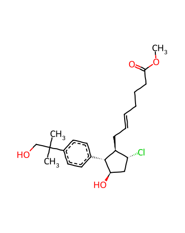 COC(=O)CCCC=CC[C@@H]1[C@@H](c2ccc(C(C)(C)CO)cc2)[C@H](O)C[C@H]1Cl